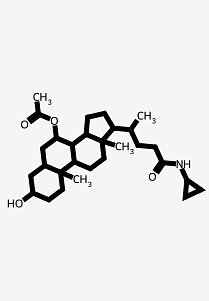 CC(=O)OC1CC2CC(O)CCC2(C)C2CCC3(C)C(C(C)CCC(=O)NC4CC4)CCC3C12